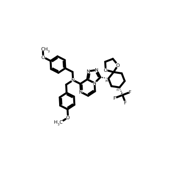 COc1ccc(CN(Cc2ccc(OC)cc2)c2nccn3c([C@H]4C[C@@H](C(F)(F)F)CCC45OCCO5)nnc23)cc1